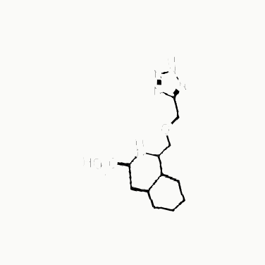 O=C(O)C1CC2CCCCC2C(COCc2nn[nH]n2)N1